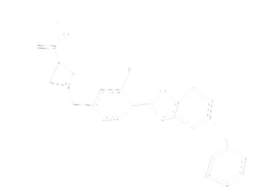 COC(=O)C1CN(Cc2ccc(-c3cc4cc(Oc5ccccc5)ccc4o3)c(F)c2)C1